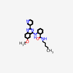 CCCCCNC(=O)c1ccccc1Nc1nc(-c2cccnc2)nc2ccc(OC)cc12